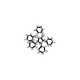 c1ccc(Oc2c(Oc3ccccc3)c(-c3ccccc3)n(-c3ccccc3)c2-c2ccccc2)cc1